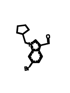 O=Cc1cn(CC2CCCC2)c2cc(Br)ccc12